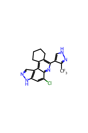 FC(F)(F)c1n[nH]cc1-c1nc2c(Cl)cc3[nH]ncc3c2c2c1CCCC2